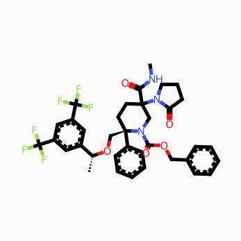 CNC(=O)C1(N2CCCC2=O)CC[C@@](CO[C@H](C)c2cc(C(F)(F)F)cc(C(F)(F)F)c2)(c2ccccc2)N(C(=O)OCc2ccccc2)C1